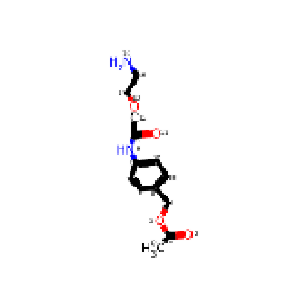 CC(=O)OCc1ccc(NC(=O)COCCN)cc1